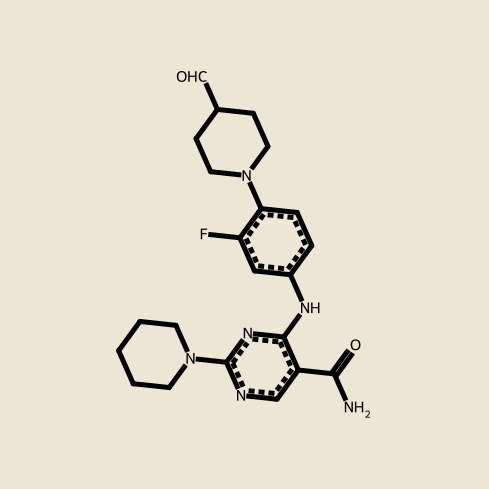 NC(=O)c1cnc(N2CCCCC2)nc1Nc1ccc(N2CCC(C=O)CC2)c(F)c1